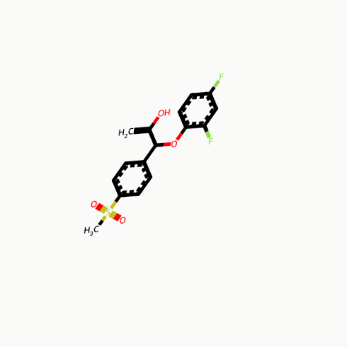 C=C(O)C(Oc1ccc(F)cc1F)c1ccc(S(C)(=O)=O)cc1